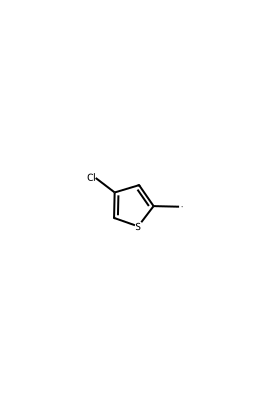 [CH2]c1cc(Cl)cs1